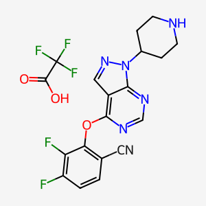 N#Cc1ccc(F)c(F)c1Oc1ncnc2c1cnn2C1CCNCC1.O=C(O)C(F)(F)F